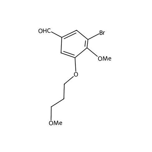 COCCCOc1cc(C=O)cc(Br)c1OC